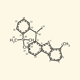 Cc1cccc2c1sc1c(N(I)c3ccccc3[Si](C)(C)C)cccc12